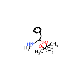 CNCC=C(Cc1ccccc1)B1OC(C)(C)C(C)(C)O1